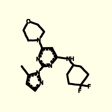 Cc1ccnn1-c1nc(NC2CCC(F)(F)CC2)cc(N2CCOCC2)n1